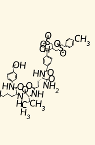 Cc1ccc(S(=O)(=O)CC(C[SH](=O)=O)C(=O)c2ccc(C(=O)N[C@@H](CCC(=O)N[C@H](C(=O)N[C@@H](CCCNC(N)=O)C(=O)Nc3ccc(CO)cc3)C(C)C)C(N)=O)cc2)cc1